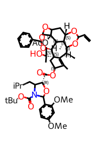 C=CC1O[C@H]2CC3OC[C@@]3(OC(C)=O)[C@H]3[C@H](OC(=O)c4ccccc4)[C@]4(C(C)(C)O)C[C@H](OC(=O)[C@@H]5OC(c6ccc(OC)cc6OC)N(C(=O)OC(C)(C)C)C5CC(C)C)C(C)=C4[C@H](C)[C@H](O1)[C@]23C